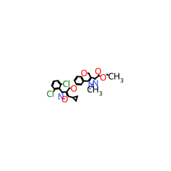 CCOC(=O)c1nn(C)c2c1COc1ccc(OCc3c(-c4c(Cl)cccc4Cl)noc3C3CC3)cc1-2